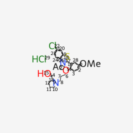 COc1ccc(OCCCN2CCC[C@H]2CO)c(C2Sc3cc(Cl)ccc3N2C(C)=O)c1.Cl